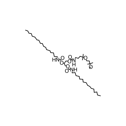 CCCCCCCCCCCCCCCCCCNC(=O)OC(COC(=O)NCCCCCCCCCCCCCCCC)COC(=O)NCCCC(C)(C)OCCC(C)(C)OC